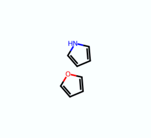 c1cc[nH]c1.c1ccoc1